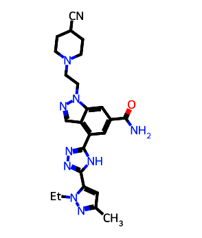 CCn1nc(C)cc1-c1nnc(-c2cc(C(N)=O)cc3c2cnn3CCN2CCC(C#N)CC2)[nH]1